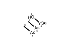 CC(C)=O.CC(C)=O.CCCCO